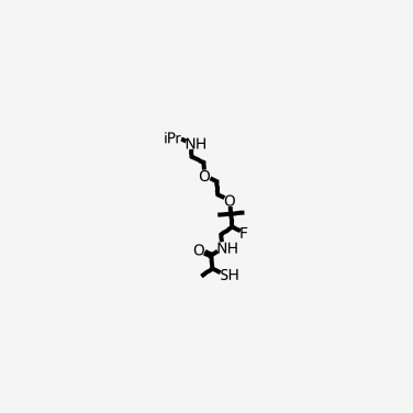 CC(C)NCCOCCOC(C)(C)C(F)CNC(=O)C(C)S